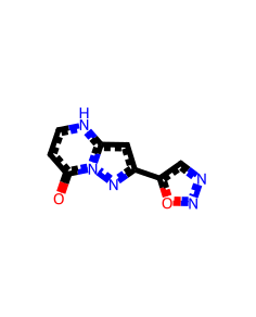 O=c1cc[nH]c2cc(-c3cnno3)nn12